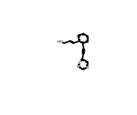 OC/C=C/c1ccccc1C#Cc1cncnc1